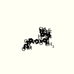 COc1cc(C(=O)NC2CCN(Cc3cccc4c3CN(C3CCC(=O)NC3=O)C4=O)CC2)c(F)cc1Nc1ncc(C(F)(F)F)c(Oc2cccc3c2C(=O)N(C)C3)n1